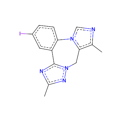 Cc1nc2n(n1)Cc1c(C)ncn1-c1ccc(I)cc1-2